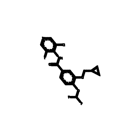 O=C(Nc1c(Cl)cncc1I)c1ccc(OC(F)F)c(OCC2CC2)c1